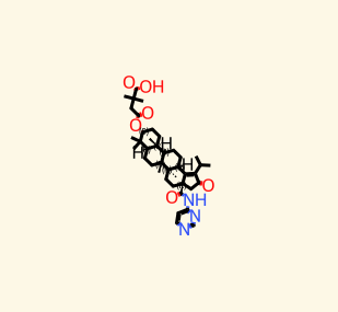 CC(C)C1=C2[C@H]3CC[C@@H]4[C@@]5(C)CC[C@H](OC(=O)CC(C)(C)C(=O)O)C(C)(C)[C@@H]5CC[C@@]4(C)[C@]3(C)CC[C@@]2(C(=O)Nc2ccncn2)CC1=O